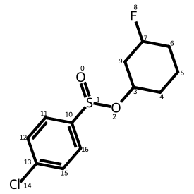 O=S(OC1CCCC(F)C1)c1ccc(Cl)cc1